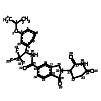 CC(C)Oc1cccc([C@@H](NC(=O)c2ccc3c(c2)CN(C2CCC(=O)NC2=O)C3=O)C(F)(F)F)c1